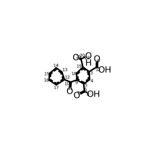 O=C(O)c1cc(C(=O)O)c(C(=O)c2ccccc2)cc1C(=O)O